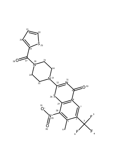 Cc1c(C(F)(F)F)cc2c(=O)nc(N3CCN(C(=O)c4cccs4)CC3)sc2c1[N+](=O)[O-]